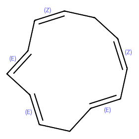 C1=C\C/C=C\C=C\C/C=C/C=C/1